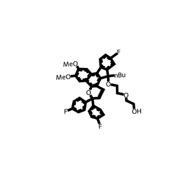 CCCCC1(OCCOCCO)c2cc(F)ccc2-c2c1c1c(c3cc(OC)c(OC)cc23)OC(c2ccc(F)cc2)(c2ccc(F)cc2)C=C1